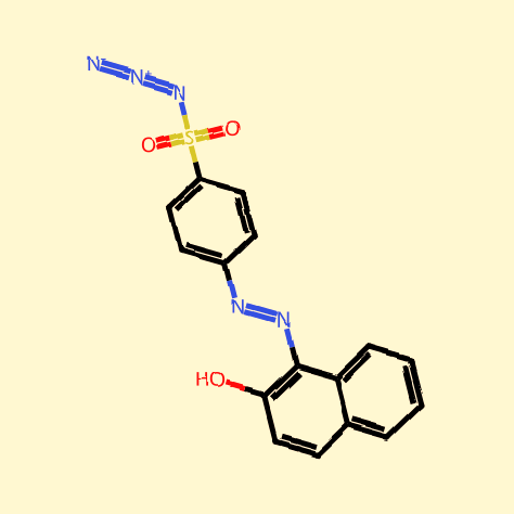 [N-]=[N+]=NS(=O)(=O)c1ccc(N=Nc2c(O)ccc3ccccc23)cc1